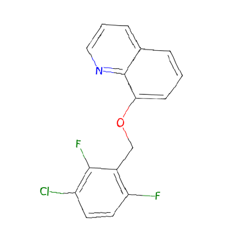 Fc1ccc(Cl)c(F)c1COc1cccc2cccnc12